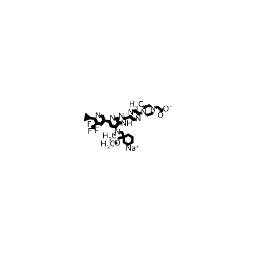 COCC1(CN(C)c2cc(-c3cnc(C4CC4)c(C(F)(F)F)c3)nc3nc(-c4cnc(N5CCN(CC(=O)[O-])C[C@H]5C)cn4)[nH]c23)CCCCC1.[Na+]